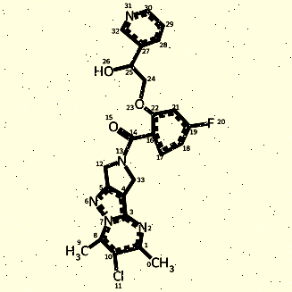 Cc1nc2c3c(nn2c(C)c1Cl)CN(C(=O)c1ccc(F)cc1OCC(O)c1cccnc1)C3